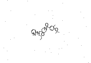 CCC1CN(c2ccccn2)CC2(CCN(C(=O)c3ccc(OC(C)C)c(C)c3)CC2)O1